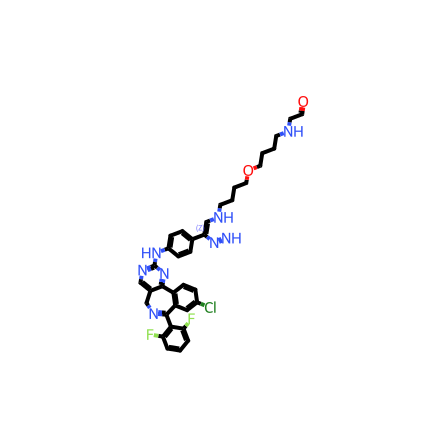 N=N/C(=C\NCCCCOCCCCNCC=O)c1ccc(Nc2ncc3c(n2)-c2ccc(Cl)cc2C(c2c(F)cccc2F)=NC3)cc1